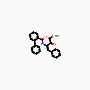 COC(=O)C(=O)/C(=C\c1ccccc1)NC(=O)c1ccccc1-c1ccccc1